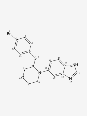 Brc1ccc(SC2CO[CH]CN2c2ccc3[nH]cnc3c2)cc1